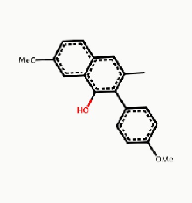 COc1ccc(-c2c(C)cc3ccc(OC)cc3c2O)cc1